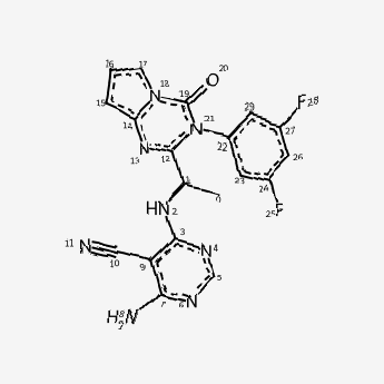 CC(Nc1ncnc(N)c1C#N)c1nc2cccn2c(=O)n1-c1cc(F)cc(F)c1